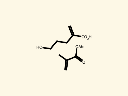 C=C(C)C(=O)OC.C=C(CCCO)C(=O)O